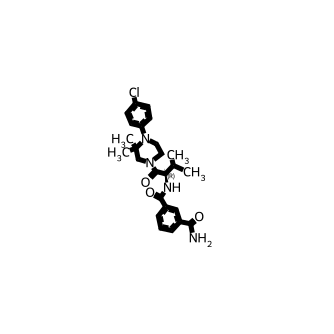 CC(C)[C@@H](NC(=O)c1cccc(C(N)=O)c1)C(=O)N1CCN(c2ccc(Cl)cc2)C(C)(C)C1